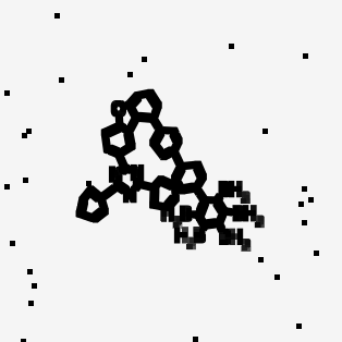 Bc1c(B)c(B)c(-c2ccc(-c3ccc(-c4cccc5oc6ccc(-c7nc(-c8ccccc8)nc(-c8ccccc8)n7)cc6c45)cc3)cc2)c(B)c1B